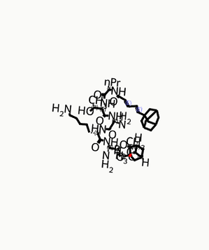 CCC[C@H](NC(=O)/C=C/C=C/C12CC3CC(CC(C3)C1)C2)C(=O)N[C@H](C(=O)N[C@@H](N)C(=O)N[C@@H](CCCCCN)C(=O)N[C@@H](N)B1OC2C[C@@H]3C[C@@H](C3(C)C)[C@]2(C)O1)[C@@H](C)O